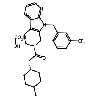 C[C@H]1CC[C@H](CC(=O)N2CCc3c(n(Cc4cccc(C(F)(F)F)c4)c4ncccc34)C2)CC1.O=C(O)O